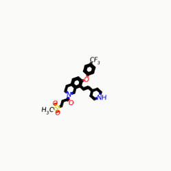 CS(=O)(=O)CCC(=O)N1CCc2ccc(Oc3ccc(C(F)(F)F)cc3)c(/C=C/C3CCNCC3)c2C1